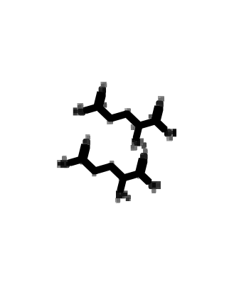 NC(CCC(=O)O)C(=O)O.NC(CCC(=O)O)C(=O)O